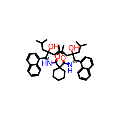 CC(C)CC(O)(CC(C)C)[C@@H](NC(=O)C1(C(=O)N[C@@H](c2cccc3ccccc23)C(O)(CC(C)C)CC(C)C)CCCCC1)c1cccc2ccccc12